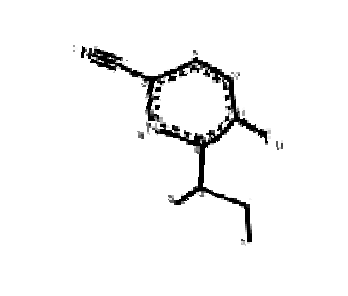 CCC(C)c1nc(C#N)ccc1F